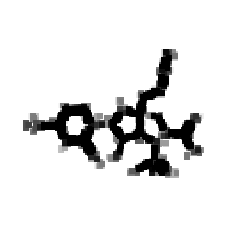 CC(C)C(=O)OC[C@@]1(CN=[N+]=[N-])O[C@@H](n2ccc(N)nc2=O)[C@H](F)[C@@H]1O[SH](#P)I